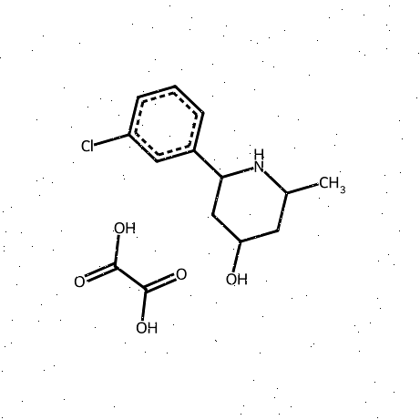 CC1CC(O)CC(c2cccc(Cl)c2)N1.O=C(O)C(=O)O